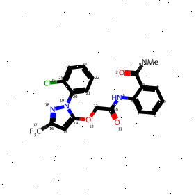 CNC(=O)c1ccccc1NC(=O)COc1cc(C(F)(F)F)nn1-c1ccccc1Cl